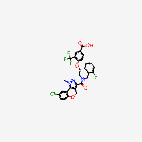 Cn1nc(C(=O)N(CCOc2ccc(C(=O)O)cc2C(F)(F)F)CC2CC=CC=C2F)c2c1-c1cc(Cl)ccc1OC2